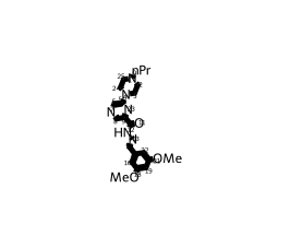 CCCN1CCN(c2cncc(C(=O)NN=Cc3cc(OC)cc(OC)c3)n2)CC1